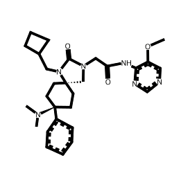 COc1cncnc1NC(=O)CN1C[C@]2(CC[C@](c3ccccc3)(N(C)C)CC2)N(CC2CCC2)C1=O